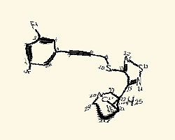 Fc1cc(F)cc(C#CCSc2nsnc2[C@@H]2CN3CCC2CC3)c1